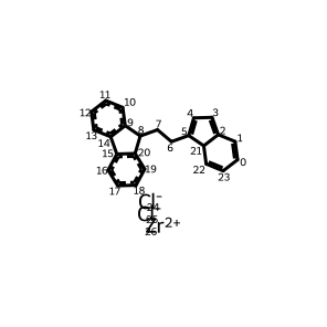 C1=CC2=CC=C(CCC3c4ccccc4-c4ccccc43)C2C=C1.[Cl-].[Cl-].[Zr+2]